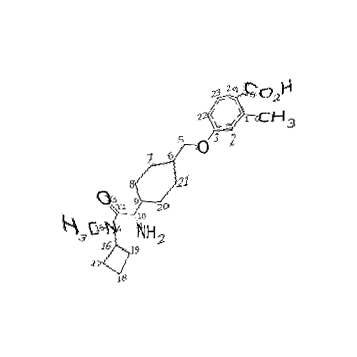 Cc1cc(OCC2CCC([C@H](N)C(=O)N(C)C3CCC3)CC2)ccc1C(=O)O